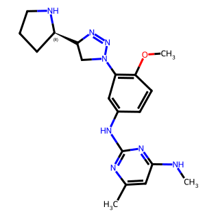 CNc1cc(C)nc(Nc2ccc(OC)c(N3CC([C@H]4CCCN4)N=N3)c2)n1